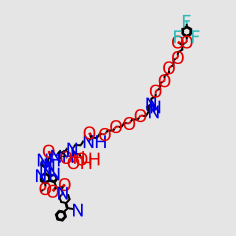 COc1cnc(-n2cnc(C(=O)NC[C@H](O)CN(CCCNC(=O)CCOCCOCCOCCOCc3cn(CCOCCOCCOCCOCCC(=O)Oc4c(F)cc(F)cc4F)nn3)C(CO)CO)n2)c2[nH]cc(C(=O)C(=O)N3CCC(=C(C#N)c4ccccc4)CC3)c12